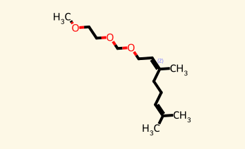 COCCOCOC/C=C(/C)CCC=C(C)C